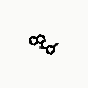 Brc1cccc(Nc2ncnc3cc[c]cc23)c1